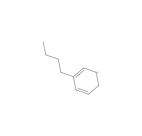 CCCCC1=C[C]CC=[C]1